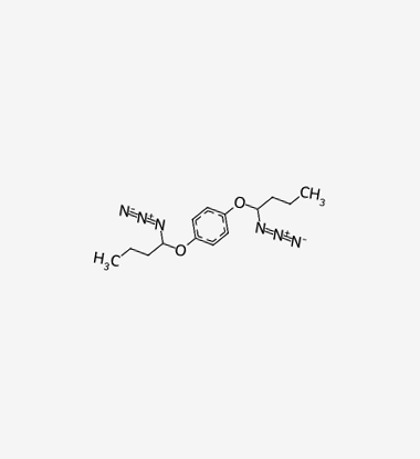 CCCC(N=[N+]=[N-])Oc1ccc(OC(CCC)N=[N+]=[N-])cc1